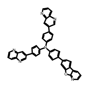 c1cnc2cc(-c3ccc(N(c4ccc(-c5cnc6cccnc6c5)cc4)c4ccc(-c5ccc6c(c5)oc5ncccc56)cc4)cc3)cnc2c1